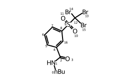 CCCCNC(=O)c1cccc(S(=O)(=O)C(Br)(Br)Br)c1